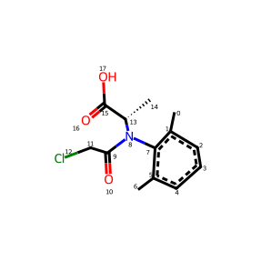 Cc1cccc(C)c1N(C(=O)CCl)[C@@H](C)C(=O)O